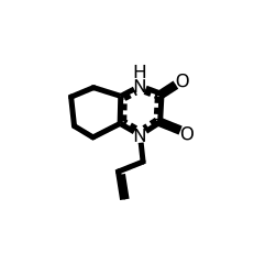 C=CCn1c2c([nH]c(=O)c1=O)CCCC2